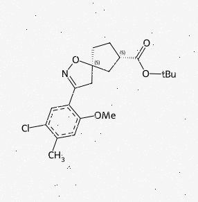 COc1cc(C)c(Cl)cc1C1=NO[C@]2(CC[C@H](C(=O)OC(C)(C)C)C2)C1